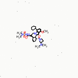 COc1ccc(C2CCCCC2)c2c1cc1n2CC2=C(C(=O)NS(=O)(=O)N(C)C)C2=C2C=CC[C@@H](C(=O)N3CC[C@H](N(C)C)C3)C21